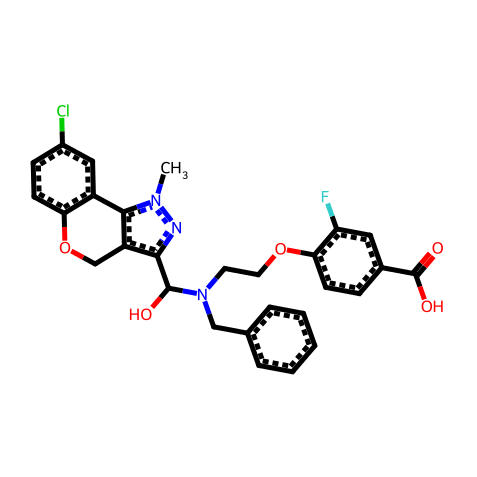 Cn1nc(C(O)N(CCOc2ccc(C(=O)O)cc2F)Cc2ccccc2)c2c1-c1cc(Cl)ccc1OC2